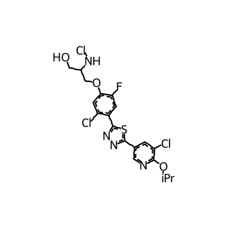 CC(C)Oc1ncc(-c2nnc(-c3cc(F)c(OCC(CO)NCl)cc3Cl)s2)cc1Cl